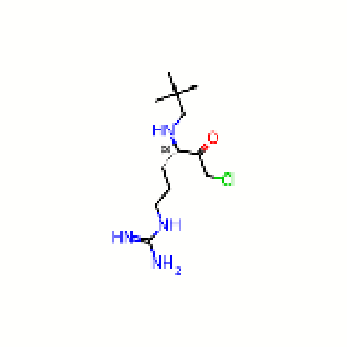 CC(C)(C)CN[C@@H](CCCNC(=N)N)C(=O)CCl